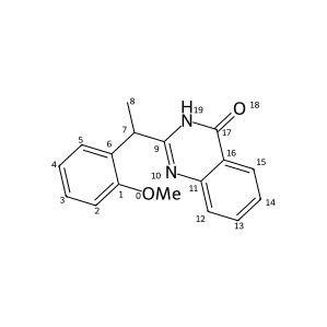 COc1ccccc1C(C)c1nc2ccccc2c(=O)[nH]1